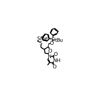 CSCSCC1C[C@H](n2cc(C)c(=O)[nH]c2=O)O[C@@H]1CO[Si](c1ccccc1)(c1ccccc1)C(C)(C)C